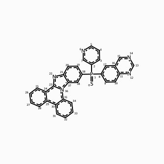 S=P(c1cccnc1)(c1ccc2ncncc2c1)c1ccc2nc3c4ccccc4c4ccccc4n3c2c1